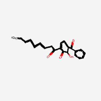 CCCCCCCCCCCCCCCCCC(=O)C1=CC=C(C(=O)c2ccccc2)C(O)C1=O